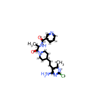 Cc1nc(Cl)nc(N)c1CCC1CCN(C(=O)C(C)NC(=O)c2cccnc2)CC1